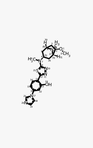 CO[C@@H]1C[C@H]2C[C@H](N(C)c3nnc(-c4ccc(-n5ccnc5)cc4O)s3)C[C@@H]1N2C